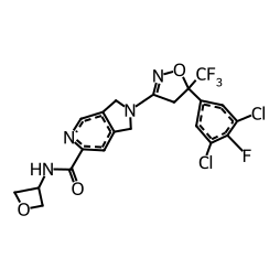 O=C(NC1COC1)c1cc2c(cn1)CN(C1=NOC(c3cc(Cl)c(F)c(Cl)c3)(C(F)(F)F)C1)C2